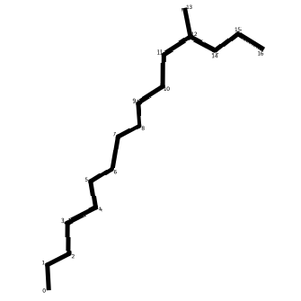 CCCCCCCCCCCCC(C)CCC